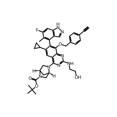 C#Cc1ccc(COc2c(-c3c(C)c(F)cc4[nH]ncc34)c(C3CC3)cc3c(N4C[C@@H]5C[C@H]4CN5C(=O)OC(C)(C)C)nc(NCCO)nc23)cc1